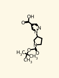 CC(C)(C)OC(=O)N1CCC(n2cc(C(=O)O)cn2)C1